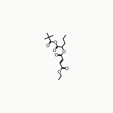 CCCC(OC(=O)/C=C/C(=O)OCC)C(=O)OC(=O)C(C)(C)C